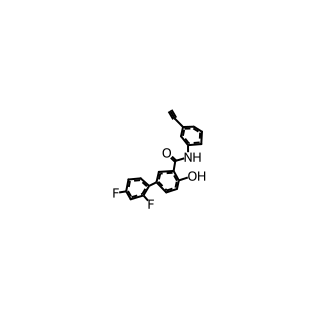 C#Cc1cccc(NC(=O)c2cc(-c3ccc(F)cc3F)ccc2O)c1